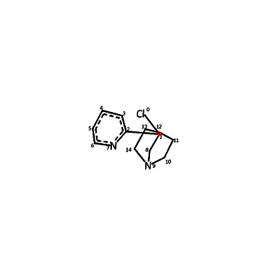 ClC1(c2ccccn2)CN2CCC1CC2